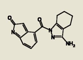 Nc1nn(C(=O)c2cccc3c2=CC(=O)N=3)c2c1CCCC2